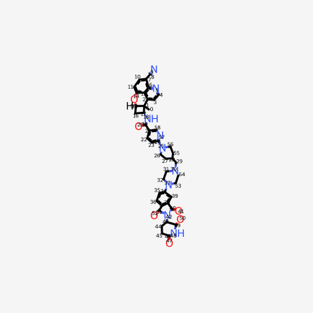 CC12c3ccnc4c(C#N)ccc(c34)O[C@@H]1C[C@@H]2NC(=O)c1ccc(N2CCC(CN3CCN(c4ccc5c(c4)C(=O)N(C4CCC(=O)NC4=O)C5=O)CC3)CC2)nc1